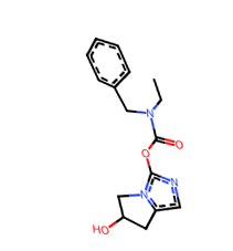 CCN(Cc1ccccc1)C(=O)Oc1ncc2n1CC(O)C2